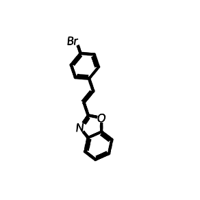 Brc1ccc(C=Cc2nc3ccccc3o2)cc1